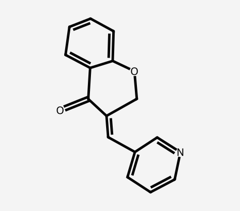 O=C1/C(=C/c2cccnc2)COc2ccccc21